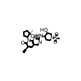 C#Cc1cc2cnc(N[C@@H]3CCN(S(C)(=O)=O)C[C@H]3O)nc2n([C@@H]2CCC[C@@]2(C)O)c1=O